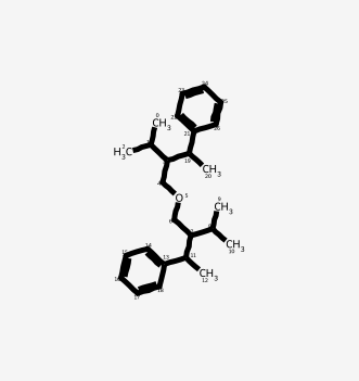 CC(C)C(COCC(C(C)C)C(C)c1ccccc1)C(C)c1ccccc1